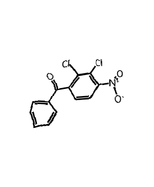 O=C(c1ccccc1)c1ccc([N+](=O)[O-])c(Cl)c1Cl